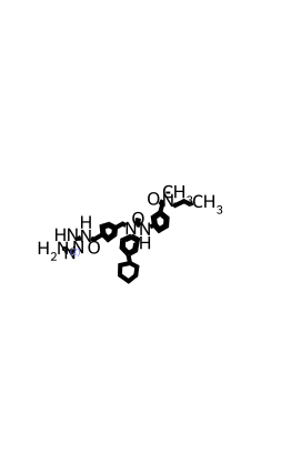 CCCCN(C)C(=O)c1cccc(NC(=O)N(Cc2ccc(C(=O)NC(=N)/N=N\N)cc2)c2ccc(C3CCCCC3)cc2)c1